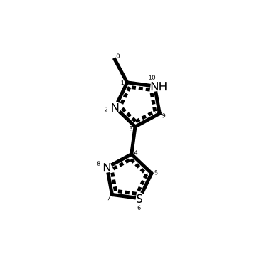 Cc1nc(-c2cscn2)c[nH]1